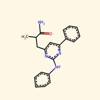 CC(Cc1cc(-c2ccccc2)nc(Nc2ccccc2)n1)C(N)=O